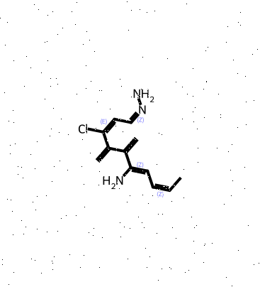 C=C(C(=C)/C(Cl)=C\C=N/N)/C(N)=C/C=C\C